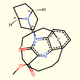 COC(=O)c1nc2ccccc2n([C@H]2C[C@H]3CC[C@@H](C2)N3C2CCCCCCCCCCC2)c1=O